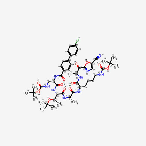 C[C@H](NC(=O)[C@@H](NC(=O)[C@H](CNC(=O)OC(C)(C)C)NC(=O)c1ccc(-c2ccc(Cl)cc2)cc1)[C@@H](C)OC(C)(C)C)C(=O)N[C@@H](CCCCNC(=O)OC(C)(C)C)C(=O)N[C@@H](C)C(=O)c1ncc(C#N)o1